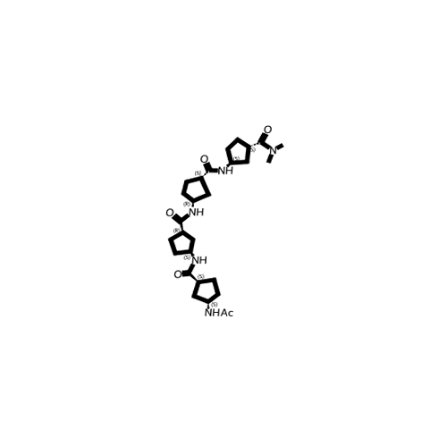 CC(=O)N[C@H]1CC[C@H](C(=O)N[C@H]2CC[C@@H](C(=O)N[C@@H]3CC[C@H](C(=O)N[C@H]4CC[C@H](C(=O)N(C)C)C4)C3)C2)C1